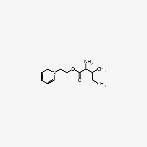 CCC(C)C(N)C(=O)OCCN1C=CC=CC1